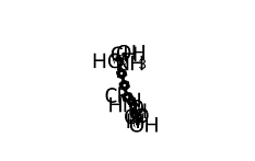 C[C@@H](O)[C@@H](CO)NCc1ccc(-c2ccc(-c3cc4nc(O[C@@H]5CO[C@H]6[C@@H]5OC[C@H]6O)[nH]c4cc3Cl)cc2)cc1